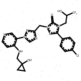 O=c1n(Cc2ncn(-c3cnccc3NCC3(O)CC3)n2)nc(-c2ccc(Cl)cc2)n1CC(O)C(F)(F)F